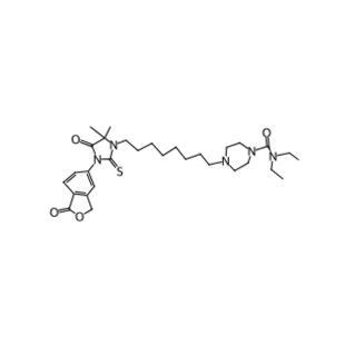 CCN(CC)C(=O)N1CCN(CCCCCCCCN2C(=S)N(c3ccc4c(c3)COC4=O)C(=O)C2(C)C)CC1